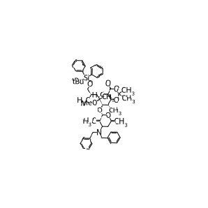 CO[C@](C)(C[C@@H](C)CO[Si](c1ccccc1)(c1ccccc1)C(C)(C)C)[C@H](O[C@@H]1OC(C)CC(N(Cc2ccccc2)Cc2ccccc2)C1C)[C@@H](C)C1=C(C)C(=O)OC(C)(C)O1